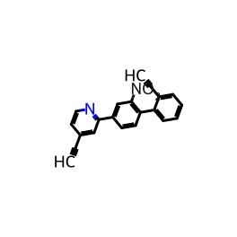 C#Cc1ccnc(-c2ccc(-c3ccccc3C#C)c([N+](=O)[O-])c2)c1